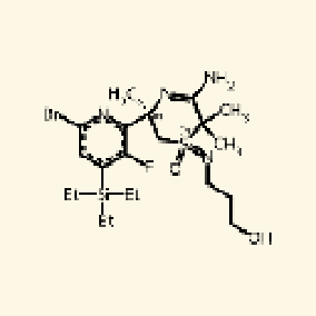 CC[Si](CC)(CC)c1cc(Br)nc([C@]2(C)C[S@](=O)(=NCCCO)C(C)(C)C(N)=N2)c1F